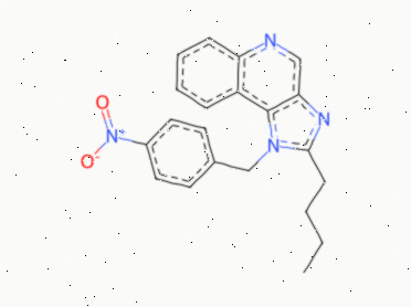 CCCCc1nc2cnc3ccccc3c2n1Cc1ccc([N+](=O)[O-])cc1